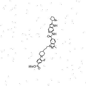 COC(=O)c1ccc(N2CCC(CCCn3nc(C)c4ccc(C(=O)Nc5cc6[nH]c([C@H]7CCCN7C)cc6cn5)cc43)CC2)c(F)c1